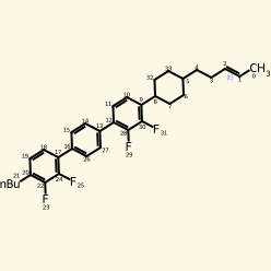 C/C=C/CCC1CCC(c2ccc(-c3ccc(-c4ccc(CCCC)c(F)c4F)cc3)c(F)c2F)CC1